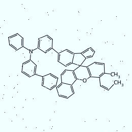 C/C=C\c1c(C)ccc2c1Oc1c(ccc3ccccc13)C21c2ccccc2-c2cc(-c3cccc(N(c4ccccc4)c4cccc(-c5ccccc5)c4)c3)ccc21